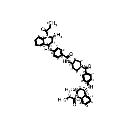 CCC(=O)N1c2ccccc2[C@H](Nc2ccc(C(=O)NC3CCN(C(=O)c4ccc(N[C@@H]5C[C@H](C)N(C(=O)CC)c6ccccc65)cc4)CC3)cc2)C[C@@H]1C